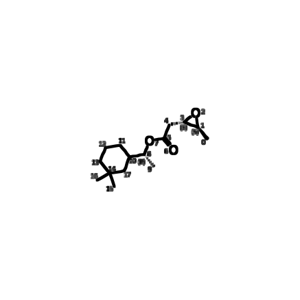 C[C@@H]1O[C@H]1CC(=O)O[C@H](C)C1CCCC(C)(C)C1